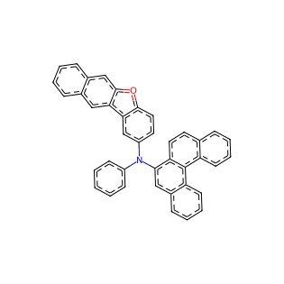 c1ccc(N(c2ccc3oc4cc5ccccc5cc4c3c2)c2cc3ccccc3c3c2ccc2ccccc23)cc1